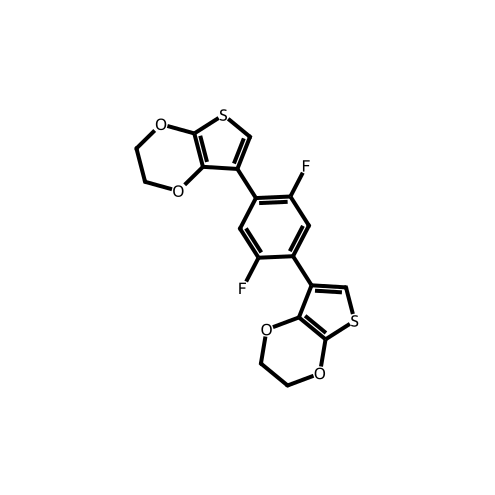 Fc1cc(-c2csc3c2OCCO3)c(F)cc1-c1csc2c1OCCO2